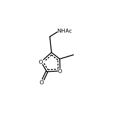 CC(=O)NCc1oc(=O)oc1C